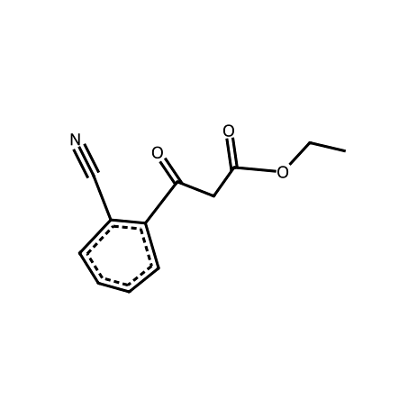 CCOC(=O)CC(=O)c1ccccc1C#N